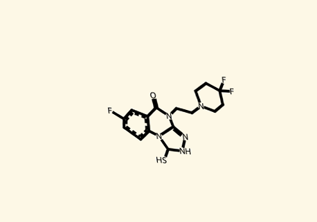 O=C1c2cc(F)ccc2N2C(=NNC2S)N1CCN1CCC(F)(F)CC1